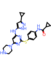 O=C(Nc1ccc(Sc2nc(Nc3cc(C4CC4)n[nH]3)cc(N3CCNCC3)n2)cc1)C1CC1